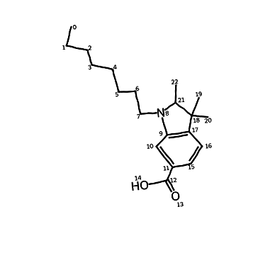 CCCCCCCCN1c2cc(C(=O)O)ccc2C(C)(C)C1C